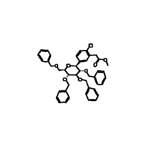 COC(=O)Cc1cc([C@@H]2O[C@H](COCc3ccccc3)[C@@H](OCc3ccccc3)[C@H](OCc3ccccc3)[C@H]2OCc2ccccc2)ccc1Cl